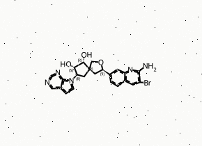 Nc1nc2cc([C@H]3C[C@@]4(CO3)C[C@@H](n3ccc5cncnc53)[C@H](O)[C@@H]4O)ccc2cc1Br